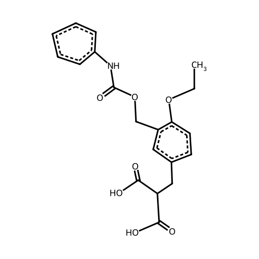 CCOc1ccc(CC(C(=O)O)C(=O)O)cc1COC(=O)Nc1ccccc1